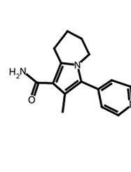 Cc1c(C(N)=O)c2n(c1-c1ccncc1)CCCC2